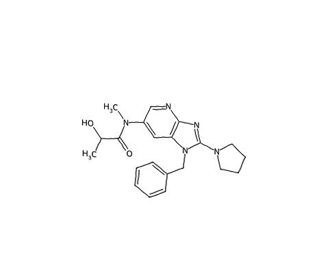 CC(O)C(=O)N(C)c1cnc2nc(N3CCCC3)n(Cc3ccccc3)c2c1